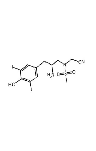 CS(=O)(=O)N(CC#N)C[C@@H](N)Cc1cc(I)c(O)c(I)c1